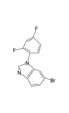 Fc1ccc(-n2cnc3ccc(Br)cc32)c(F)c1